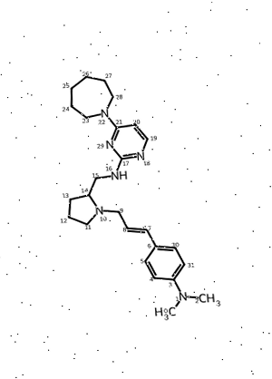 CN(C)c1ccc(C=CCN2CCCC2CNc2nccc(N3CCCCCC3)n2)cc1